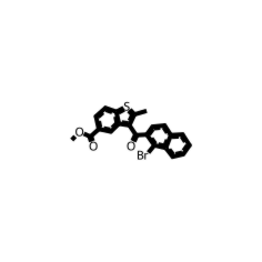 COC(=O)c1ccc2sc(C)c(C(=O)c3ccc4ccccc4c3Br)c2c1